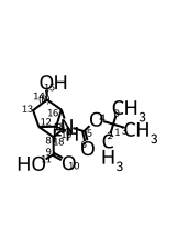 CC(C)(C)OC(=O)N1C(C(=O)O)C2C[C@@H](O)C1[C@@H]2F